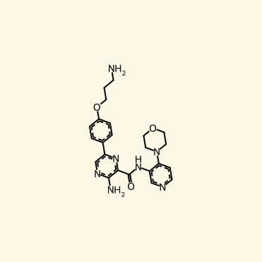 NCCCOc1ccc(-c2cnc(N)c(C(=O)Nc3cnccc3N3CCOCC3)n2)cc1